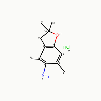 Cc1cc2c(c(C)c1N)CC(C)(C)O2.Cl